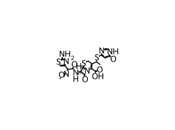 CON=C(C(=O)N[C@@H]1C(=O)N2C(C(=O)O)=C(C(C)Sc3cc(=O)[nH]cn3)CS[C@@H]12)c1csc(N)n1